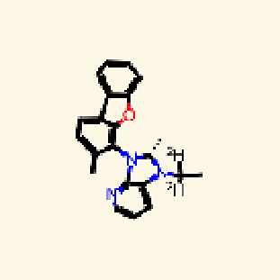 [2H]C([2H])(C)N1c2cccnc2N(c2c(C)ccc3c2oc2ccccc23)[C@@H]1C